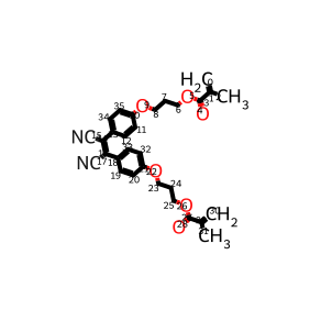 C=C(C)C(=O)OCCCOc1ccc(/C(C#N)=C(/C#N)c2ccc(OCCCOC(=O)C(=C)C)cc2)cc1